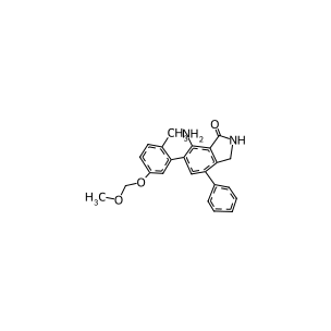 COCOc1ccc(C)c(-c2cc(-c3ccccc3)c3c(c2N)C(=O)NC3)c1